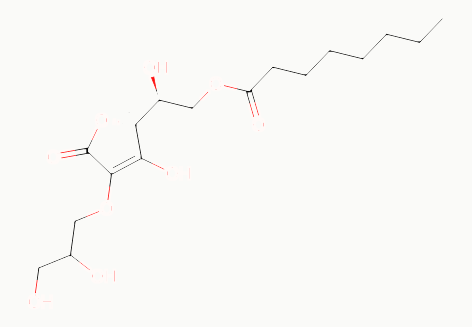 CCCCCCCC(=O)OC[C@H](O)[C@H]1OC(=O)C(OCC(O)CO)=C1O